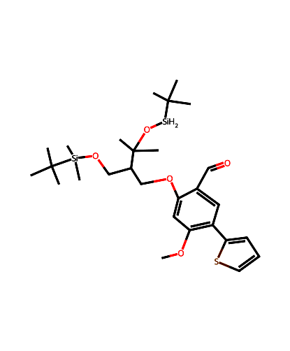 COc1cc(OCC(CO[Si](C)(C)C(C)(C)C)C(C)(C)O[SiH2]C(C)(C)C)c(C=O)cc1-c1cccs1